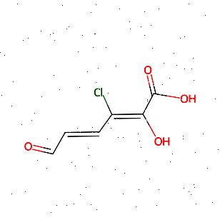 O=CC=CC(Cl)=C(O)C(=O)O